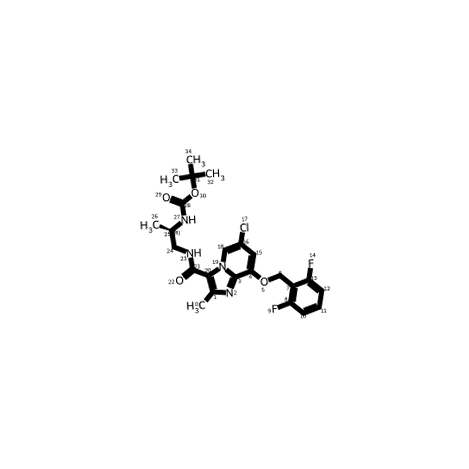 Cc1nc2c(OCc3c(F)cccc3F)cc(Cl)cn2c1C(=O)NC[C@@H](C)NC(=O)OC(C)(C)C